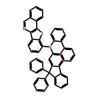 c1ccc(-c2ccccc2N(c2ccc3c(c2)C(c2ccccc2)(c2ccccc2)c2ccccc2-3)c2cccc3c2sc2c4ccccc4cnc32)cc1